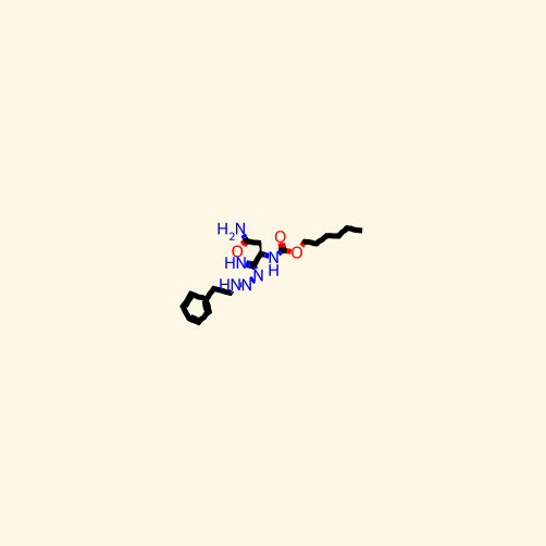 CCCCCCOC(=O)N[C@H](CC(N)=O)C(=N)/N=N\NCCc1ccccc1